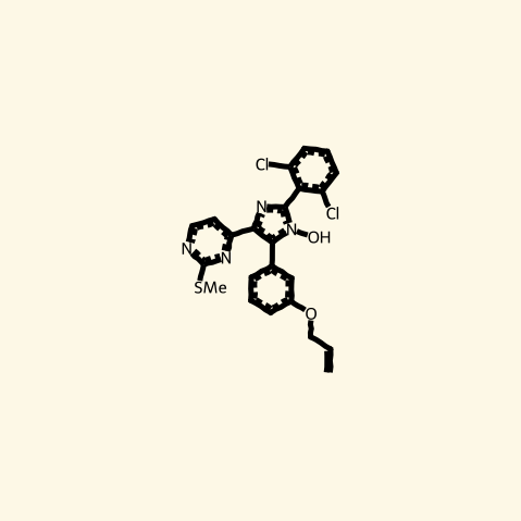 C=CCOc1cccc(-c2c(-c3ccnc(SC)n3)nc(-c3c(Cl)cccc3Cl)n2O)c1